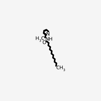 CCCCCCCCCCCCCC(=O)NC(C)c1ccccn1